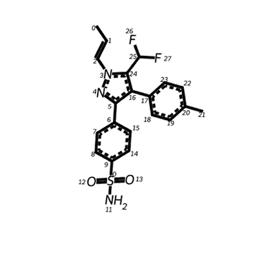 CC=Cn1nc(-c2ccc(S(N)(=O)=O)cc2)c(-c2ccc(C)cc2)c1C(F)F